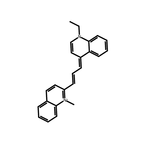 CCN1C=CC(=CC=Cc2ccc3ccccc3[n+]2C)c2ccccc21